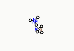 c1ccc(-c2nc(-c3ccccc3)nc(-c3ccc(-c4nc5cccc(-c6ccccc6)c5c5sc6ccccc6c45)cc3)n2)cc1